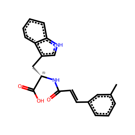 Cc1cccc(C=CC(=O)N[C@@H](Cc2c[nH]c3ccccc23)C(=O)O)c1